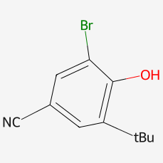 CC(C)(C)c1cc(C#N)cc(Br)c1O